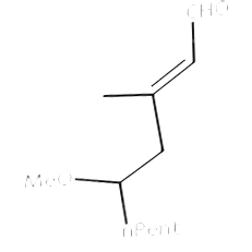 CCCCCC(C/C(C)=C/C=O)OC